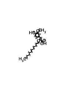 CCCCCCCCCCCCON(Cc1ccc(O)c(OC)c1)C(=O)O